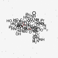 CC[C@H](C)[C@H](N)C(=O)N[C@@H](Cc1c[nH]cn1)C(=O)N[C@@H](CCCNC(=N)N)C(=O)N[C@@H](CC(N)=O)C(=O)N[C@H](C(=O)N[C@@H](Cc1ccccc1)C(=O)N[C@@H](Cc1ccccc1)C(=O)N[C@H](C(=O)N[C@@H](CCC(=O)O)C(=O)N[C@@H](CC(N)=O)C(=O)N[C@H](C(=O)N[C@@H](CC(N)=O)C(=O)N[C@H](C(=O)N[C@H](C(=O)N[C@H](C(=O)N[C@@H](CS)C(=O)O)C(C)C)[C@@H](C)O)[C@@H](C)CC)[C@@H](C)O)[C@@H](C)CC)C(C)C